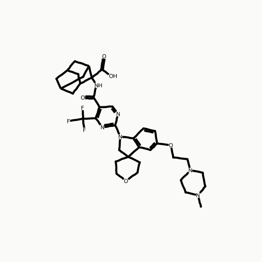 CN1CCN(CCOc2ccc3c(c2)C2(CCOCC2)CN3c2ncc(C(=O)NC3(C(=O)O)C4CC5CC(C4)CC3C5)c(C(F)(F)F)n2)CC1